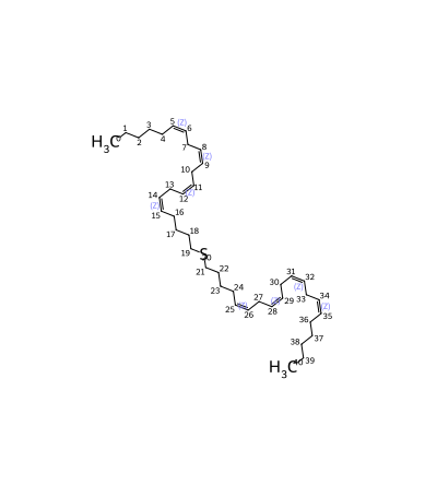 CCCCC/C=C\C/C=C\C/C=C\C/C=C\CCCCSCCCC/C=C\C/C=C\C/C=C\C/C=C\CCCCC